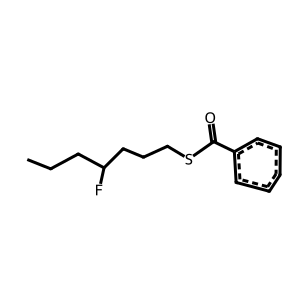 CCCC(F)CCCSC(=O)c1ccccc1